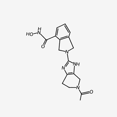 CC(=O)N1CCc2nc(N3Cc4cccc(C(=O)NO)c4C3)[nH]c2C1